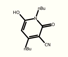 CCCCc1cc(O)n(CCCC)c(=O)c1C#N